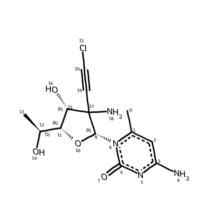 Cc1cc(N)nc(=O)n1[C@@H]1O[C@H]([C@H](C)O)[C@H](O)C1(N)C#CCl